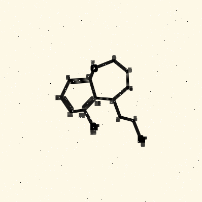 BrCCC1CCCOc2cccc(Br)c21